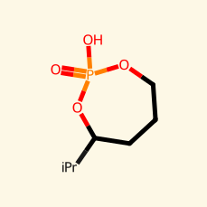 CC(C)C1CCCOP(=O)(O)O1